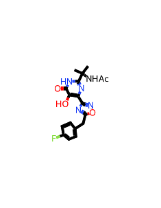 CC(=O)NC(C)(C)c1nc(-c2noc(Cc3ccc(F)cc3)n2)c(O)c(=O)[nH]1